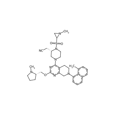 Cc1cccc2cccc(N3CCc4c(nc(OC[C@@H]5CCCN5C)nc4N4CCN(S(=O)(=O)C5CN5C)[C@@H](CC#N)C4)C3)c12